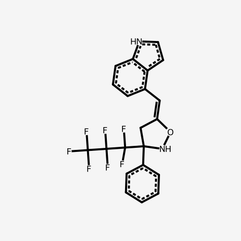 FC(F)(F)C(F)(F)C(F)(F)C1(c2ccccc2)CC(=Cc2cccc3[nH]ccc23)ON1